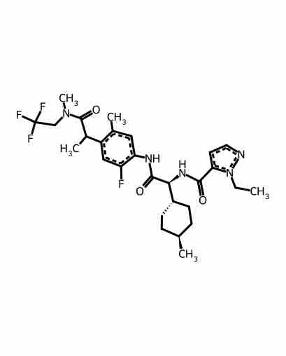 CCn1nccc1C(=O)N[C@H](C(=O)Nc1cc(C)c(C(C)C(=O)N(C)CC(F)(F)F)cc1F)[C@H]1CC[C@H](C)CC1